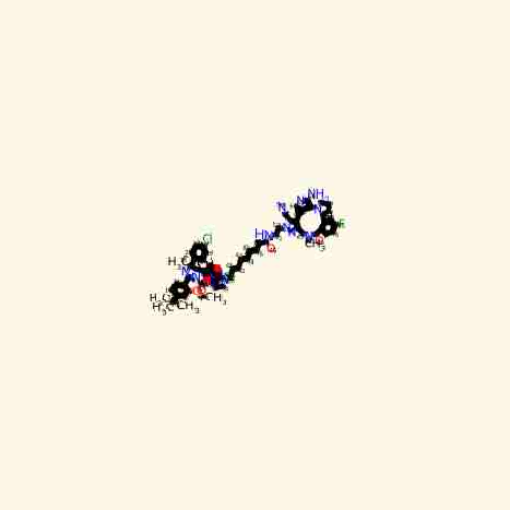 CCOc1cc(C(C)(C)C)ccc1C1=N[C@@](C)(c2ccc(Cl)cc2)[C@@](C)(c2ccc(Cl)cc2)N1C(=O)N1CCN(CCCCCCCCC(=O)NCCn2nc3c(c2C#N)-c2cnc(N)c(c2)N2CCC[C@@H]2c2cc(F)ccc2C(=O)N(C)C3)CC1